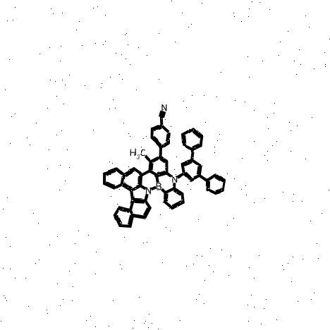 Cc1c(-c2ccc(C#N)cc2)cc2c3c1-c1cc4ccccc4c4c5c6ccccc6ccc5n(c14)B3c1ccccc1N2c1cc(-c2ccccc2)cc(-c2ccccc2)c1